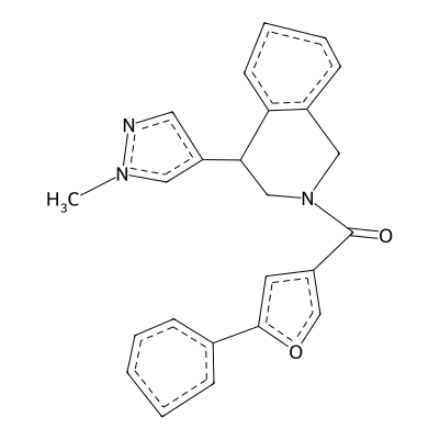 Cn1cc(C2CN(C(=O)c3coc(-c4ccccc4)c3)Cc3ccccc32)cn1